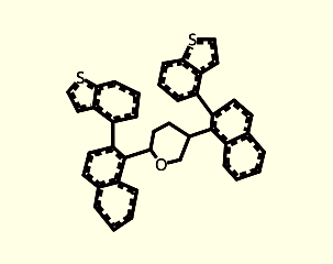 c1ccc2c(C3CCC(c4c(-c5cccc6sccc56)ccc5ccccc45)OC3)c(-c3cccc4sccc34)ccc2c1